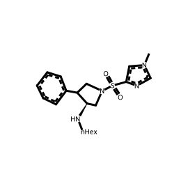 CCCCCCN[C@@H]1CN(S(=O)(=O)c2cn(C)cn2)CC1c1ccccc1